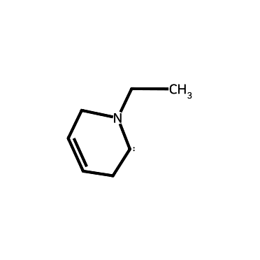 CCN1[C]CC=CC1